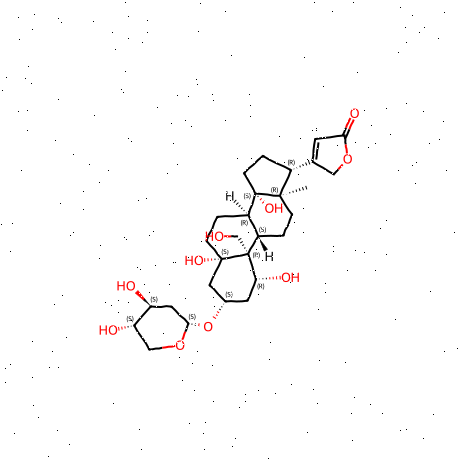 C[C@]12CC[C@H]3[C@@H](CC[C@]4(O)C[C@@H](O[C@H]5C[C@H](O)[C@@H](O)CO5)C[C@@H](O)[C@]34CO)[C@@]1(O)CC[C@@H]2C1=CC(=O)OC1